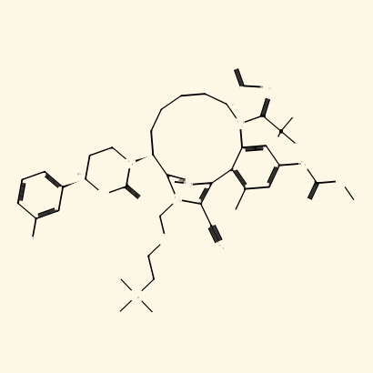 COC(=O)Nc1cc(C)c2c(c1)N(C(=O)C(F)(F)F)[C@@H](C(=O)O)CCCC[C@H](N1CC[C@H](c3cccc(Cl)c3)OC1=O)c1nc-2c(C#N)n1COCC[Si](C)(C)C